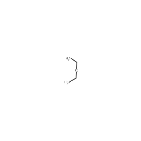 [SiH3][CH2][Pt][CH2][SiH3]